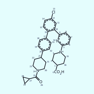 O=C(O)C1CCN(c2cccc(-c3cc(Cl)ccc3-c3ccc(C4CCN(C(=O)C5CC5)CC4)cc3)n2)CC1